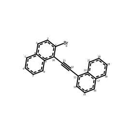 Brc1ccc2ccccc2c1C#Cc1cccc2ccccc12